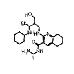 CCC(NC1CCCCC1)C(CO)CNc1nc2c(cc1C(=O)NC(C)N)CCCC2